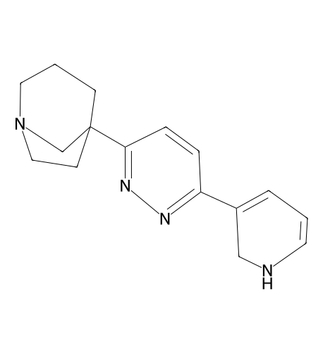 C1=CNCC(c2ccc(C34CCCN(CC3)C4)nn2)=C1